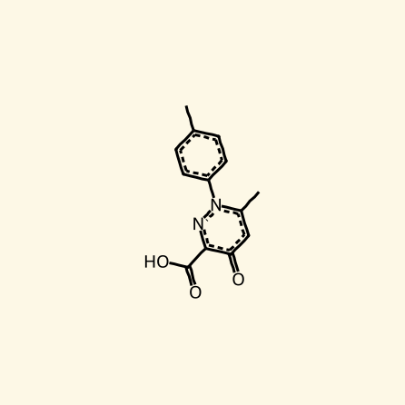 Cc1ccc(-n2nc(C(=O)O)c(=O)cc2C)cc1